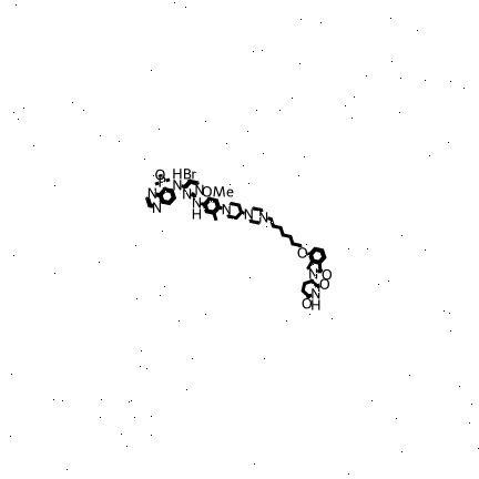 COc1cc(N2CCC(N3CCN(CCCCCCCOc4cccc5c4CN(C4CCC(=O)NC4=O)C5=O)CC3)CC2)c(C)cc1Nc1ncc(Br)c(Nc2ccc3nccnc3c2P(C)(C)=O)n1